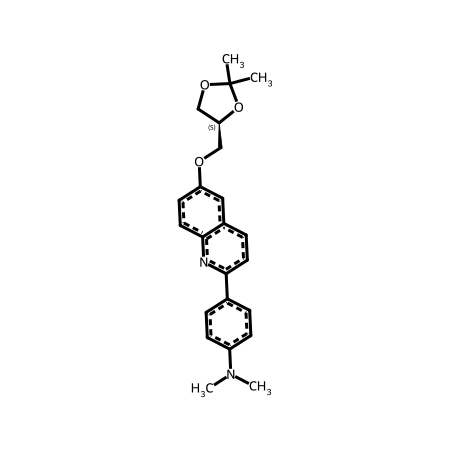 CN(C)c1ccc(-c2ccc3cc(OC[C@H]4COC(C)(C)O4)ccc3n2)cc1